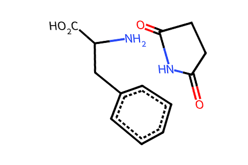 NC(Cc1ccccc1)C(=O)O.O=C1CCC(=O)N1